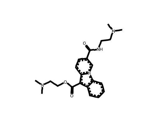 CN(C)CCNC(=O)c1ccc2c(C(=O)OCCN(C)C)c3ccccc3n2c1